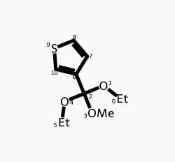 CCOC(OC)(OCC)c1ccsc1